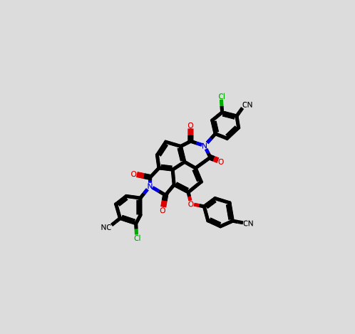 N#Cc1ccc(Oc2cc3c4c(ccc5c4c2C(=O)N(c2ccc(C#N)c(Cl)c2)C5=O)C(=O)N(c2ccc(C#N)c(Cl)c2)C3=O)cc1